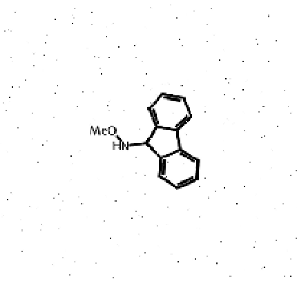 CONC1c2ccccc2-c2ccccc21